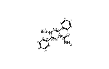 CCC(C)N1N=C(c2ccccc2)N(C(N)=O)N=C1c1ccccc1